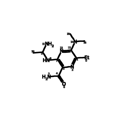 CCc1nc(C(N)=O)c(NC(C)N)nc1N(C)C